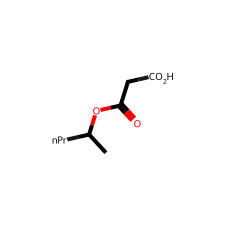 CCCC(C)OC(=O)CC(=O)O